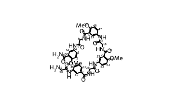 COc1ccc(NC(=O)CNC(=O)c2cc(NC(=O)CNC(=O)c3cc(NC(=O)CNC(=O)c4cccc(NC(=O)CN)c4)ccc3OC)ccc2OC)cc1C(N)=O